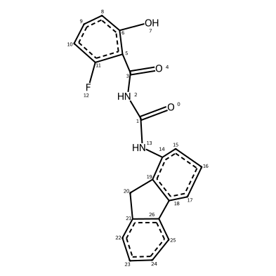 O=C(NC(=O)c1c(O)cccc1F)Nc1cccc2c1Cc1ccccc1-2